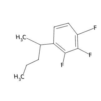 CCCC(C)c1ccc(F)c(F)c1F